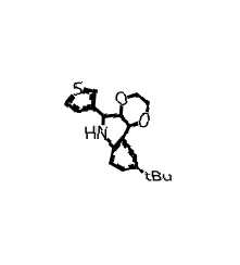 CC(C)(C)c1ccc2c(c1)C1OCCOC1C(c1ccsc1)N2